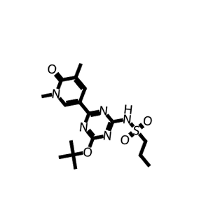 CCCS(=O)(=O)Nc1nc(OC(C)(C)C)nc(-c2cc(C)c(=O)n(C)c2)n1